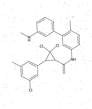 C=C(Nc1ccc(C)c(-c2cccc(NC)c2)c1)C1C(c2cc(C)cc(Cl)c2)C1(Cl)Cl